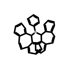 C1=Cc2ccccc2C(P(c2ccccc2)C2c3ccccc3C=Cc3ccccc32)c2ccccc21